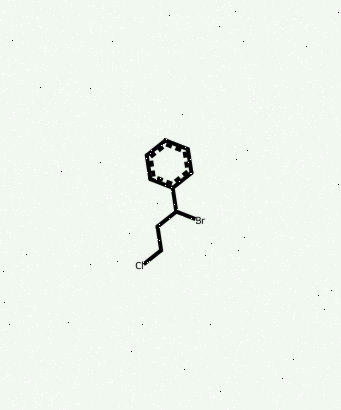 ClCCC(Br)c1ccccc1